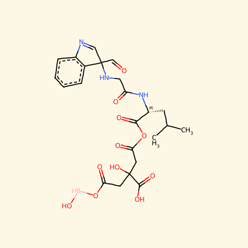 CC(C)C[C@@H](NC(=O)CNC1(C=O)C=Nc2ccccc21)C(=O)OC(=O)CC(O)(CC(=O)OBO)C(=O)O